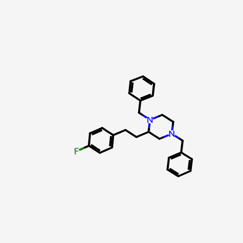 Fc1ccc(CCC2CN(Cc3ccccc3)CCN2Cc2ccccc2)cc1